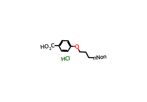 CCCCCCCCCCCCOc1ccc(C(=O)O)cc1.Cl